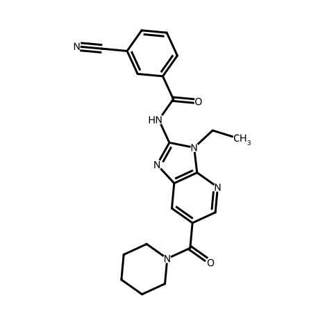 CCn1c(NC(=O)c2cccc(C#N)c2)nc2cc(C(=O)N3CCCCC3)cnc21